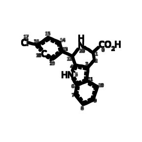 O=C(O)C1Cc2c([nH]c3ccccc23)C(c2ccc(Cl)cc2)N1